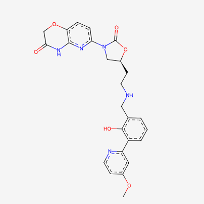 COc1ccnc(-c2cccc(CNCC[C@H]3CN(c4ccc5c(n4)NC(=O)CO5)C(=O)O3)c2O)c1